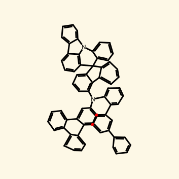 c1ccc(-c2cccc(-c3ccccc3N(c3ccc4c5ccccc5c5ccccc5c4c3)c3cccc4c3-c3ccccc3C43c4ccccc4-n4c5ccccc5c5cccc3c54)c2)cc1